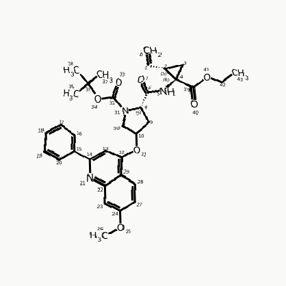 C=C[C@@H]1C[C@]1(NC(=O)[C@@H]1CC(Oc2cc(-c3ccccc3)nc3cc(OC)ccc23)CN1C(=O)OC(C)(C)C)C(=O)OCC